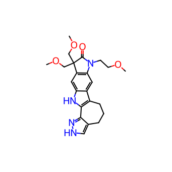 COCCN1C(=O)C(COC)(COC)c2cc3[nH]c4c(c3cc21)CCCc1c[nH]nc1-4